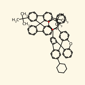 CC(C)(C)c1ccc2c(c1)C1(c3ccccc3-c3ccc(N(c4ccccc4)c4ccc5c(c4)C4(c6ccccc6O5)c5cc(C6CCCCC6)ccc5-c5ccc(C6CCCCC6)cc54)cc31)c1cc(C(C)(C)C)ccc1-2